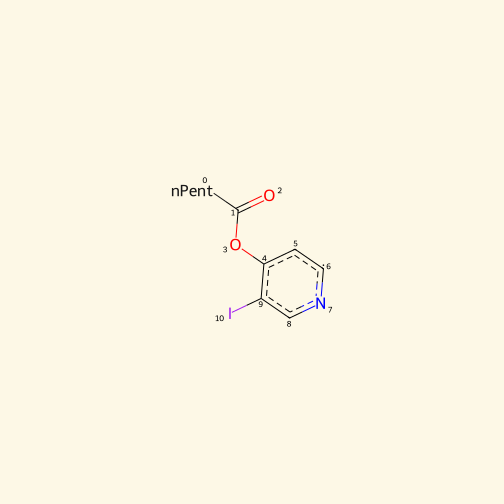 CCCCCC(=O)Oc1c[c]ncc1I